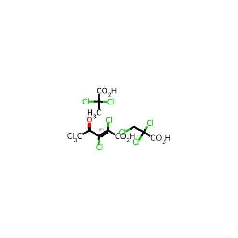 CC(Cl)(Cl)C(=O)O.O=C(O)/C(Cl)=C(\Cl)C(=O)C(Cl)(Cl)Cl.O=C(O)C(Cl)(Cl)CCl